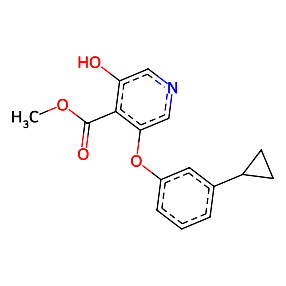 COC(=O)c1c(O)cncc1Oc1cccc(C2CC2)c1